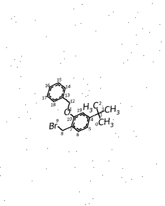 CC(C)(C)c1ccc(CBr)c(OCc2ccccc2)c1